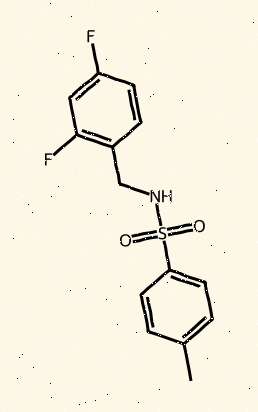 Cc1ccc(S(=O)(=O)NCc2ccc(F)cc2F)cc1